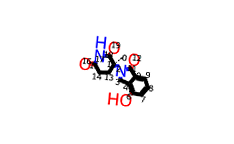 C[C@]1(N2Cc3c(O)cccc3C2=O)CCC(=O)NC1=O